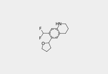 FC(F)c1cc2c(cc1C1CCCO1)CCCN2